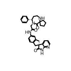 O=C(CN1C(=O)C2(CCCC2)NCC[C@H]1c1ccccc1)Nc1ccc2c(c1)C[C@@]1(C2)C(=O)Nc2ncccc21